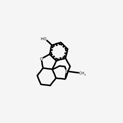 CN1CCC23c4c5ccc(O)c4OC2CCCC3C1C5